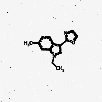 CCn1cc(-c2ncco2)c2ccc(C)cc21